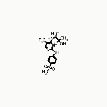 C[C@@H](Nc1nc(Nc2ccc(S(C)(=O)=O)cc2)ncc1C(F)(F)F)C(C)(C)O